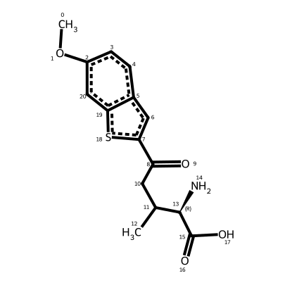 COc1ccc2cc(C(=O)CC(C)[C@@H](N)C(=O)O)sc2c1